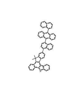 CC1(C)c2cc(-c3ccc(-c4c5ccccc5c(-c5cccc6ccccc56)c5ccccc45)c4ccccc34)ccc2-c2c1c1ccccc1c1sc3ccccc3c21